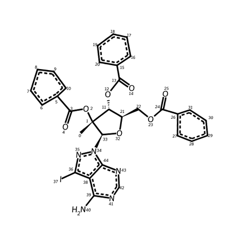 C[C@@]1(OC(=O)c2ccccc2)[C@H](OC(=O)c2ccccc2)[C@@H](COC(=O)c2ccccc2)O[C@H]1n1nc(I)c2c(N)ncnc21